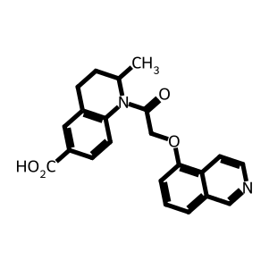 CC1CCc2cc(C(=O)O)ccc2N1C(=O)COc1cccc2cnccc12